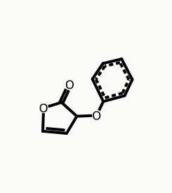 O=C1OC=CC1Oc1ccccc1